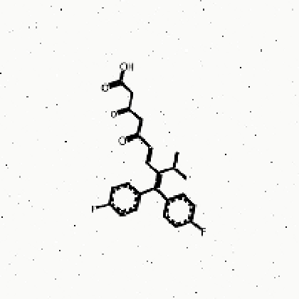 CC(C)C(C=CC(=O)CC(=O)CC(=O)O)=C(c1ccc(F)cc1)c1ccc(F)cc1